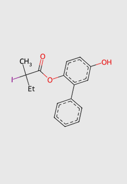 CCC(C)(I)C(=O)Oc1ccc(O)cc1-c1ccccc1